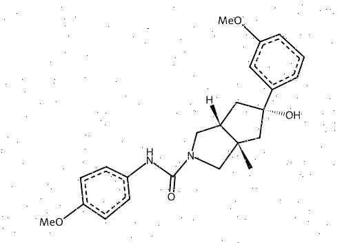 COc1ccc(NC(=O)N2C[C@@H]3C[C@@](O)(c4cccc(OC)c4)C[C@]3(C)C2)cc1